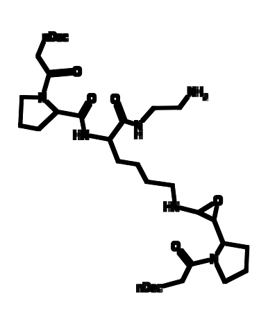 CCCCCCCCCCCC(=O)N1CCCC1C(=O)NC(CCCCNC1OC1C1CCCN1C(=O)CCCCCCCCCCC)C(=O)NCCN